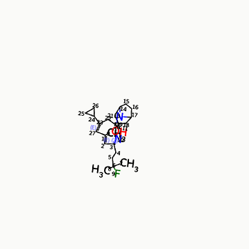 CC1=C\C(CCC(C)(C)F)=N/CC(N2C3CCC2CC(O)C3)C/C(C2CC2)=C\1